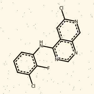 Fc1c(Cl)cccc1Nc1ncnc2cnc(Cl)cc12